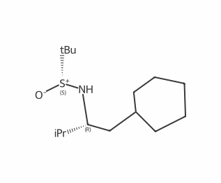 CC(C)[C@@H](CC1CCCCC1)N[S@+]([O-])C(C)(C)C